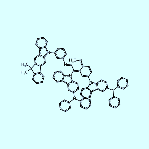 C/N=C1/C=CC(n2c3ccccc3c3cc(N(c4ccccc4)c4ccccc4)ccc32)=C/C1=C(/C=N/c1cccc(-n2c3ccccc3c3cc4c(cc32)-c2ccccc2C4(C)C)c1)n1c2ccccc2c2cc(N(c3ccccc3)c3ccccc3)ccc21